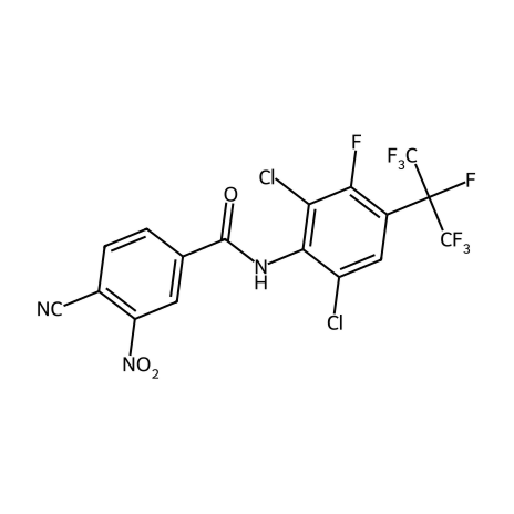 N#Cc1ccc(C(=O)Nc2c(Cl)cc(C(F)(C(F)(F)F)C(F)(F)F)c(F)c2Cl)cc1[N+](=O)[O-]